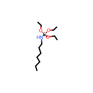 CCCCCCCN[Si](OCC)(OCC)OCC